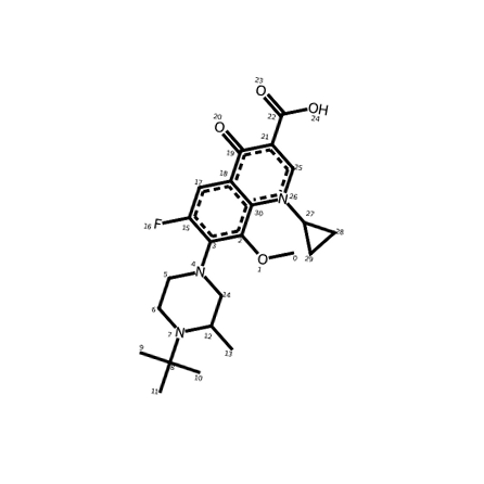 COc1c(N2CCN(C(C)(C)C)C(C)C2)c(F)cc2c(=O)c(C(=O)O)cn(C3CC3)c12